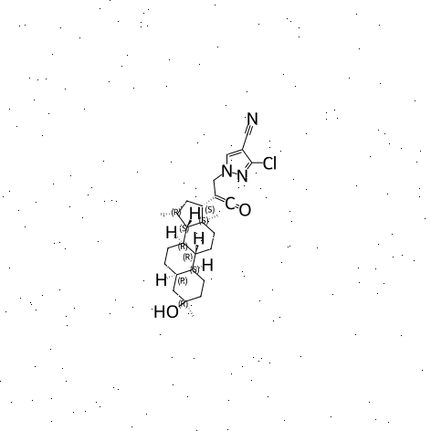 C[C@@H]1C[C@H](C(=C=O)Cn2cc(C#N)c(Cl)n2)[C@@]2(C)CC[C@H]3[C@@H](CC[C@@H]4C[C@](C)(O)CC[C@@H]43)[C@H]12